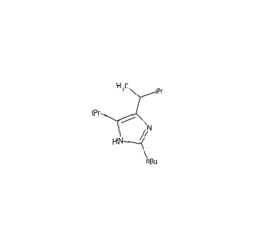 CCCCc1nc(C(C)C(C)C)c(C(C)C)[nH]1